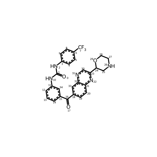 O=C(Nc1ccc(C(F)(F)F)cc1)Nc1cccc(C(=O)c2ccc3nc(C4CNCCO4)cnc3c2)c1